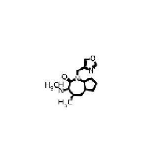 CNC1C(=O)N(Cc2cocn2)C2CCCC2CC1C